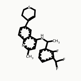 Cc1cc(NC(C)c2cccc(C(F)F)c2F)c2cc(C3=CCSCC3)ccc2n1